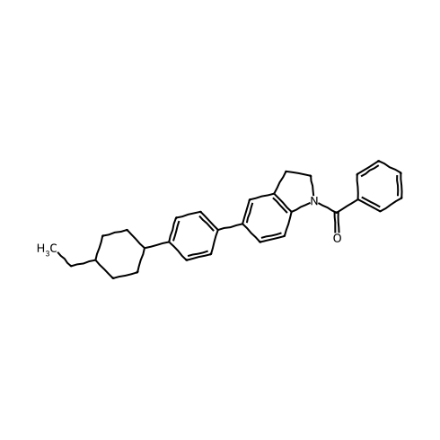 CCC1CCC(c2ccc(-c3ccc4c(c3)CCN4C(=O)c3ccccc3)cc2)CC1